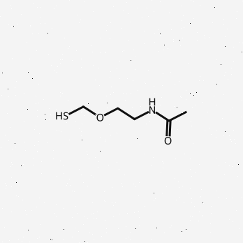 CC(=O)NCCOCS